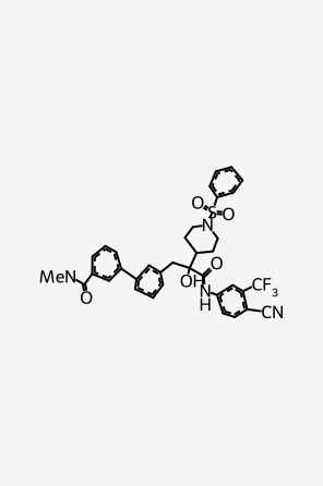 CNC(=O)c1cccc(-c2cccc(CC(O)(C(=O)Nc3ccc(C#N)c(C(F)(F)F)c3)C3CCN(S(=O)(=O)c4ccccc4)CC3)c2)c1